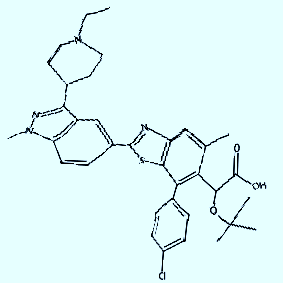 CCN1CCC(c2nn(C)c3ccc(-c4nc5cc(C)c(C(OC(C)(C)C)C(=O)O)c(-c6ccc(Cl)cc6)c5s4)cc23)CC1